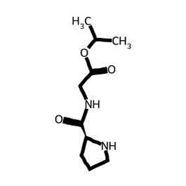 CC(C)OC(=O)CNC(=O)[C@@H]1CCCN1